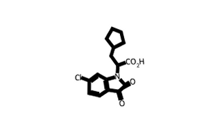 O=C1C(=O)N(C(CC2CCCC2)C(=O)O)c2cc(Cl)ccc21